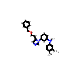 CCN(c1ccc(C#N)c(C(F)(F)F)c1)C1CCCC(n2cncc2CCOCc2ccccc2)C1